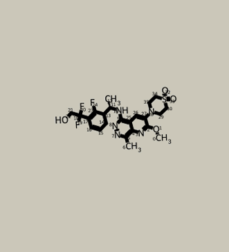 COc1nc2c(C)nnc(N[C@H](C)C3CC=CC(C(F)(F)CO)=C3F)c2cc1N1CCS(=O)(=O)CC1